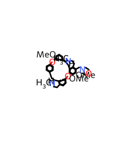 COc1ccc2cc1Oc1ccc(cc1)C[C@H]1c3cc(ccc3CCN1C)Oc1c(OC)c(OC)c(CN3CCOCC3)c3c1[C@H](C2)N(C)CC3